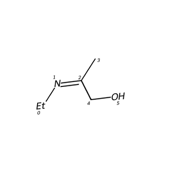 CCN=C(C)CO